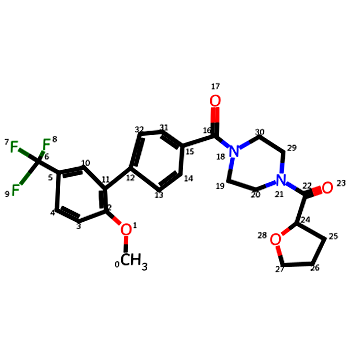 COc1ccc(C(F)(F)F)cc1-c1ccc(C(=O)N2CCN(C(=O)C3CCCO3)CC2)cc1